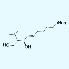 CCCCCCCCCCCCC/C=C/[C@@H](O)[C@H](CO)N(C)C